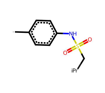 [CH2]c1ccc(NS(=O)(=O)CC(C)C)cc1